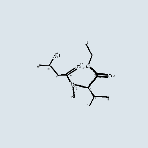 CCOC(=O)[C@@H](C(C)C)N(C)C(=O)C[C@@H](C)O